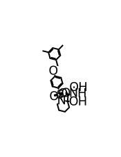 Cc1cc(C)cc(COc2ccc(S(=O)(=O)N3CCCCC3(O)C(=O)NO)cc2)c1